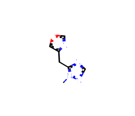 Cn1ncnc1Cc1cocn1